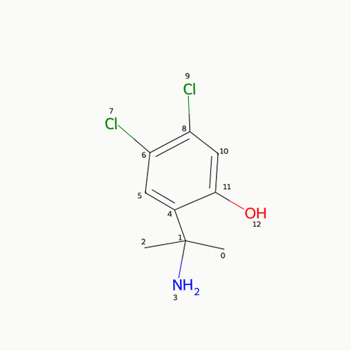 CC(C)(N)c1cc(Cl)c(Cl)cc1O